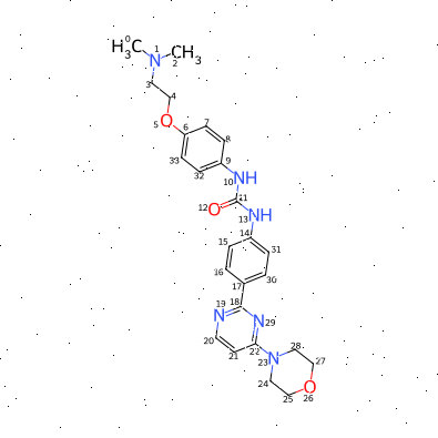 CN(C)CCOc1ccc(NC(=O)Nc2ccc(-c3nccc(N4CCOCC4)n3)cc2)cc1